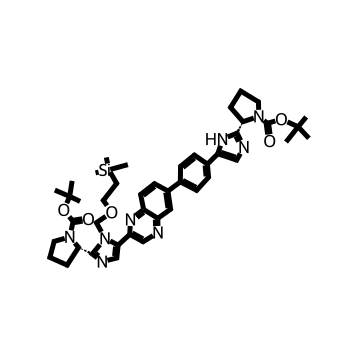 CC(C)(C)OC(=O)N1CCC[C@H]1c1ncc(-c2ccc(-c3ccc4nc(-c5cnc([C@@H]6CCCN6C(=O)OC(C)(C)C)n5COCC[Si](C)(C)C)cnc4c3)cc2)[nH]1